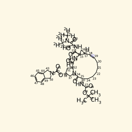 [2H]C([2H])([2H])N(C([2H])([2H])[2H])S(=O)(=O)NC(=O)[C@@]12C[C@H]1/C=C\CCCCC[C@H](NC(=O)OC(C)(C)C)C(=O)N1C[C@H](OC(=O)N3Cc4ccccc4C3)C[C@H]1C(=O)N2